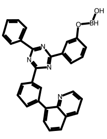 OBOc1cccc(-c2nc(-c3ccccc3)nc(-c3cccc(-c4cccc5cccnc45)c3)n2)c1